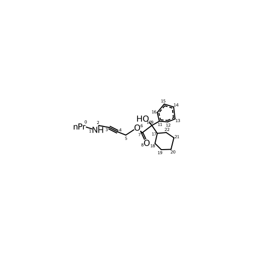 CCCNCC#CCOC(=O)C(O)(c1ccccc1)C1CCCCC1